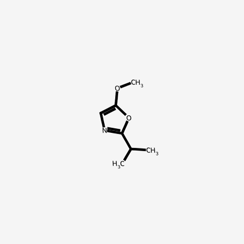 COc1cnc(C(C)C)o1